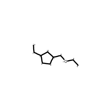 [CH2]CC1C[CH]C(COCC)C1